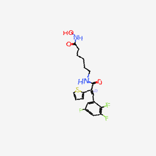 O=C(CCCCCNC(=O)/C(=C/c1cc(F)cc(F)c1F)c1cccs1)NO